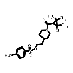 Cc1ccc(S(=O)(=O)OCCC2CCN(C(=O)C3C(C)(C)C3(C)C)CC2)cc1